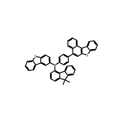 CC1(C)c2ccccc2-c2c(N(c3ccc(-c4cc5sc6ccccc6c5c5ccccc45)cc3)c3ccc4sc5ccccc5c4c3)cccc21